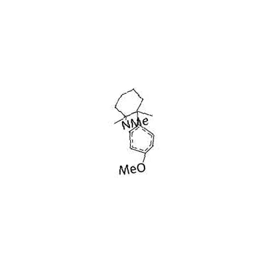 CNC1(C)CCCCC1(C)c1ccc(OC)cc1